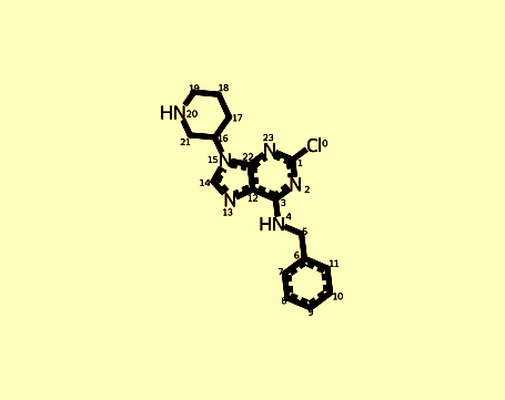 Clc1nc(NCc2ccccc2)c2ncn(C3CCCNC3)c2n1